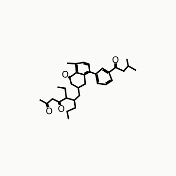 CCCC(CC1CC(=O)c2c(C)ccc(-c3cccc(C(=O)CC(C)C)c3)c2C1)C(CC)C(=O)CC(C)=O